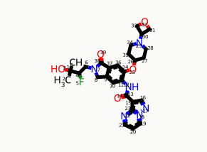 CC(C)(O)C(F)CN1Cc2cc(NC(=O)c3cnn4cccnc34)c(OC3CCN(C4COC4)CC3)cc2C1=O